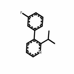 CC(C)c1ncccc1-c1cccc(F)c1